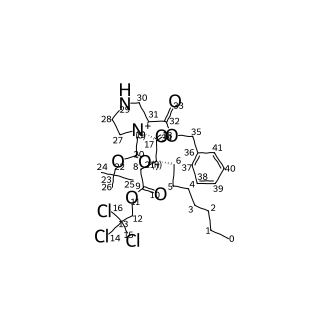 CCCCCCC[C@H](CC(=O)OCC(Cl)(Cl)Cl)C(=O)[N@+]1(C(=O)OC(C)(C)C)CCNCC1C(=O)OCc1ccccc1